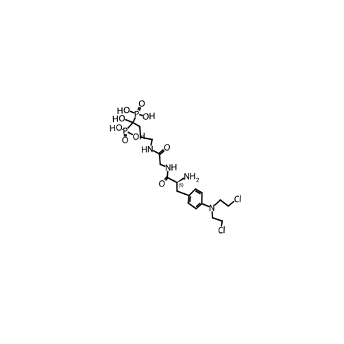 N[C@@H](Cc1ccc(N(CCCl)CCCl)cc1)C(=O)NCC(=O)NCCCC(O)(P(=O)(O)O)P(=O)(O)O